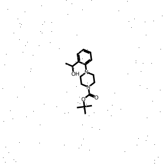 CC(O)c1ccccc1N1CCN(C(=O)OC(C)(C)C)CC1